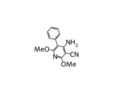 COc1nc(OC)c(-c2ccccc2)c(N)c1C#N